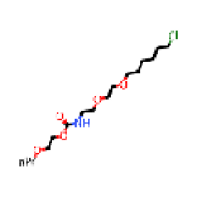 CCCOCCOC(=O)NCCOCCOCCCCCCCl